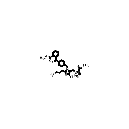 CCCCc1nc(Cl)c(Cn2nncc2C(=O)OC)n1Cc1ccc(C(=O)c2ccccc2C(=O)OC)cc1